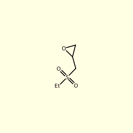 CCS(=O)(=O)CC1CO1